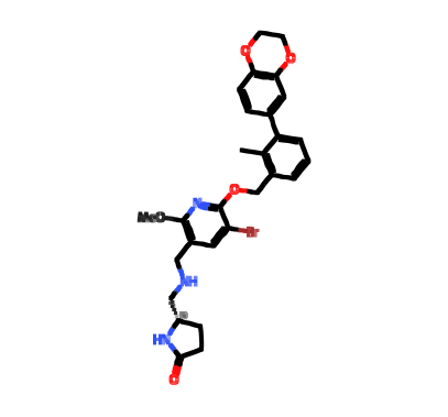 COc1nc(OCc2cccc(-c3ccc4c(c3)OCCO4)c2C)c(Br)cc1CNC[C@@H]1CCC(=O)N1